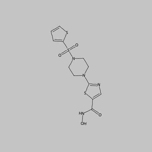 O=C(NO)c1cnc(N2CCN(S(=O)(=O)c3cccs3)CC2)s1